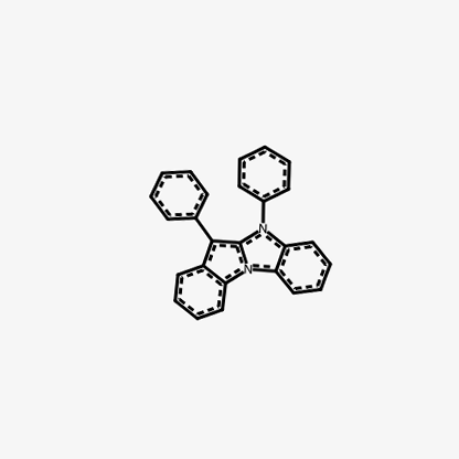 c1ccc(-c2c3ccccc3n3c4ccccc4n(-c4ccccc4)c23)cc1